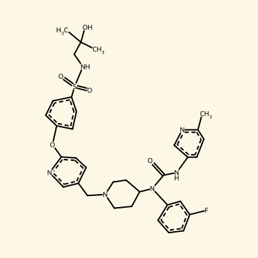 Cc1ccc(NC(=O)N(c2cccc(F)c2)C2CCN(Cc3ccc(Oc4ccc(S(=O)(=O)NCC(C)(C)O)cc4)nc3)CC2)cn1